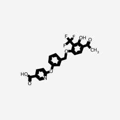 CC(=O)c1ccc(OCc2cccc(Oc3ccc(C(=O)O)cn3)c2)c(C(F)(F)F)c1O